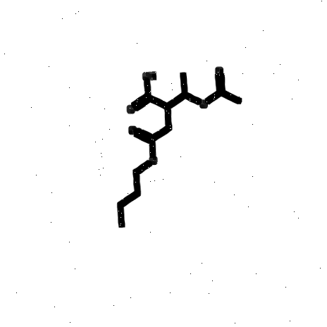 CCCCOC(=O)CC(C(=O)O)C(C)OC(C)=O